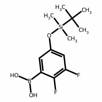 CC(C)(C)[Si](C)(C)Oc1cc(F)c(F)c(B(O)O)c1